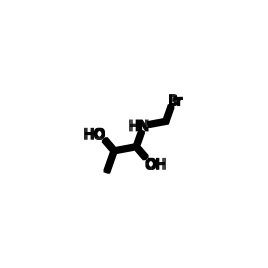 CC(O)C(O)NCBr